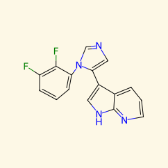 Fc1cccc(-n2cncc2-c2c[nH]c3ncccc23)c1F